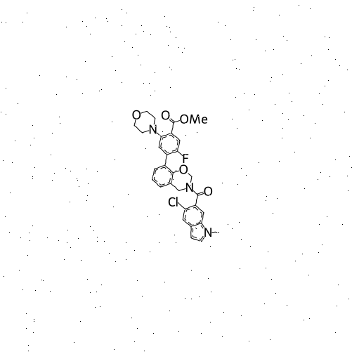 COC(=O)c1cc(F)c(-c2cccc3c2OCN(C(=O)c2cc4c(ccn4C)cc2Cl)C3)cc1N1CCOCC1